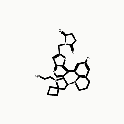 O=C1CCC(=O)N1Cc1cc2nccc(-c3cc(Cl)cc4c3N([C@@H]3CN(CCO)C5(CCC5)C3)CCC4)c2s1